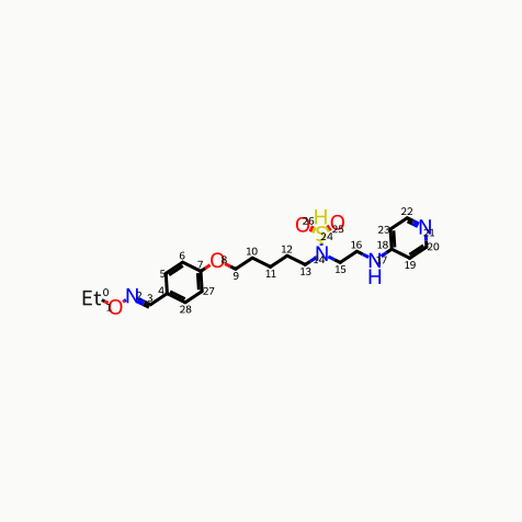 CCO/N=C/c1ccc(OCCCCCN(CCNc2ccncc2)[SH](=O)=O)cc1